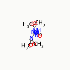 COc1ccc(CNc2ncc(CCN3CCc4cc(OC)c(OC)cc4C3)c3nc(-c4ccco4)nn23)cc1OC